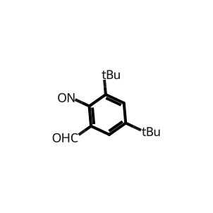 CC(C)(C)c1cc(C=O)c(N=O)c(C(C)(C)C)c1